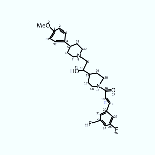 COc1ccc(C2CCN(CC(O)C3CCN(C(=O)/C=C/c4cc(F)cc(F)c4)CC3)CC2)cc1